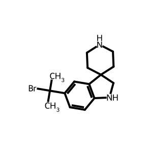 CC(C)(Br)c1ccc2c(c1)C1(CCNCC1)CN2